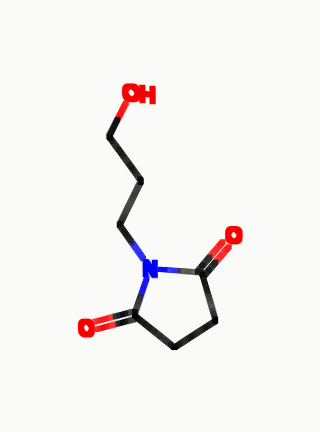 O=C1CCC(=O)N1CCCO